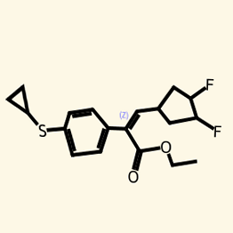 CCOC(=O)/C(=C\C1CC(F)C(F)C1)c1ccc(SC2CC2)cc1